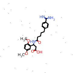 COc1ccc(OC)c(C(CC(=O)O)NC(=O)CCCCc2ccc(C(=N)N)cc2)c1